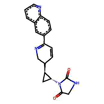 O=C1CNC(=O)N1[C@@H]1C[C@H]1C1C=CC(c2ccc3ncccc3c2)=NC1